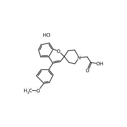 COc1ccc(C2=CC3(CCN(CC(=O)O)CC3)Oc3ccccc32)cc1.Cl